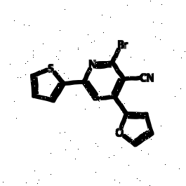 N#Cc1c(-c2ccco2)cc(-c2cccs2)nc1Br